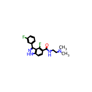 CN(C)CCNC(=O)c1ccc2[nH]nc(-c3cccc(F)c3)c2c1F